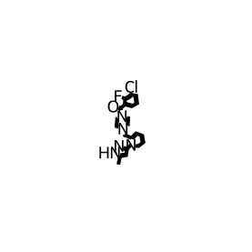 Cc1cc(N2CC=CC=C2CN2CCN(C(=O)c3cccc(Cl)c3F)CC2)n[nH]1